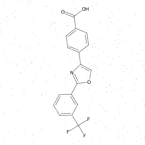 O=C(O)c1ccc(-c2coc(-c3cccc(C(F)(F)F)c3)n2)cc1